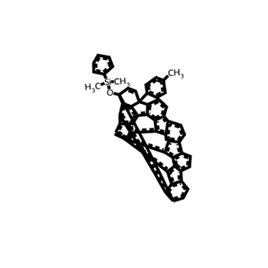 Cc1ccc(C23C=CC4(O[Si](C)(C)c5ccccc5)c5ccc6c7ccc8c9ccc%10c%11ccc2c2c%12c3c4c3c5c6c4c7c8c5c9c%10c(c%112)c2c%12c3c4c52)cc1